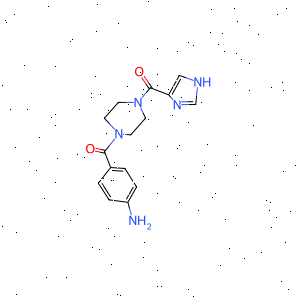 Nc1ccc(C(=O)N2CCN(C(=O)c3c[nH]cn3)CC2)cc1